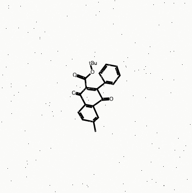 Cc1ccc2c(c1)C(=O)C(c1ccccc1)=C(C(=O)OC(C)(C)C)C2=O